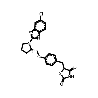 O=C1NC(=O)C(Cc2ccc(OC[C@@H]3CCCN3c3nc4ccc(Cl)cc4s3)cc2)S1